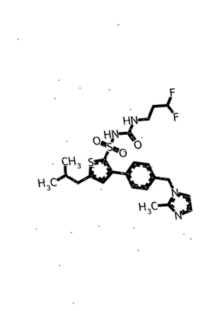 Cc1nccn1Cc1ccc(-c2cc(CC(C)C)sc2S(=O)(=O)NC(=O)NCCC(F)F)cc1